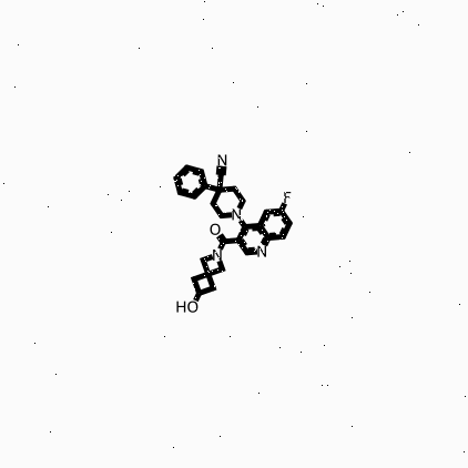 N#CC1(c2ccccc2)CCN(c2c(C(=O)N3CC4(CC(O)C4)C3)cnc3ccc(F)cc23)CC1